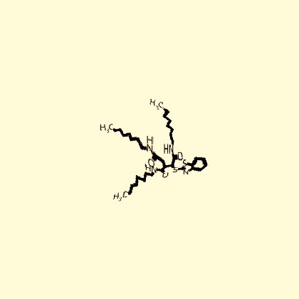 CCCCCCCCNC(=O)CC(C(=O)NCCCCCCCC)C(Sc1nc2ccccc2s1)C(=O)NCCCCCCCC